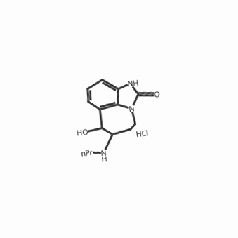 CCCNC1CCn2c(=O)[nH]c3cccc(c32)C1O.Cl